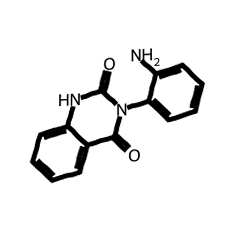 Nc1ccccc1-n1c(=O)[nH]c2ccccc2c1=O